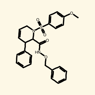 COc1ccc(S(=O)(=O)N2CC=CC(c3ccccc3)C2C(=O)NOCc2ccccc2)cc1